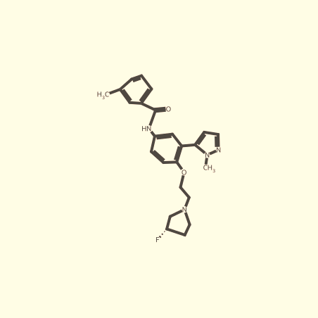 Cc1cccc(C(=O)Nc2ccc(OCCN3CC[C@H](F)C3)c(-c3ccnn3C)c2)c1